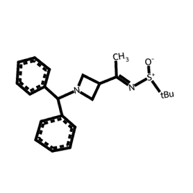 C/C(=N\[S+]([O-])C(C)(C)C)C1CN(C(c2ccccc2)c2ccccc2)C1